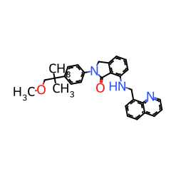 COCC(C)(C)c1ccc(N2Cc3cccc(NCc4cccc5cccnc45)c3C2=O)cc1